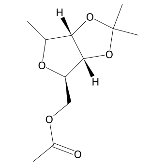 CC(=O)OC[C@H]1OC(C)[C@@H]2OC(C)(C)O[C@H]12